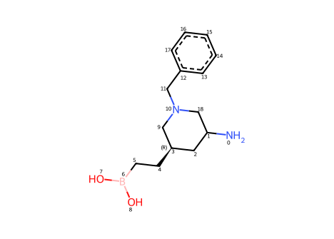 NC1C[C@@H](CCB(O)O)CN(Cc2ccccc2)C1